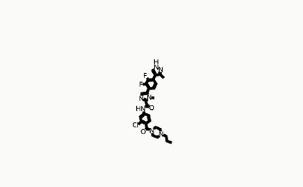 CCCN1CCN(C(=O)c2ccc(NC(=O)c3ncc(-c4ccc(-c5c[nH]nc5C)c(F)c4F)n3C)cc2Cl)CC1